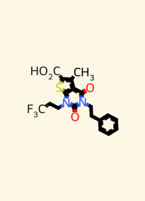 Cc1c(C(=O)O)sc2c1c(=O)n(CCc1ccccc1)c(=O)n2CCC(F)(F)F